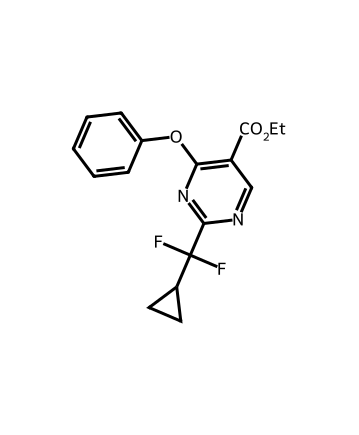 CCOC(=O)c1cnc(C(F)(F)C2CC2)nc1Oc1ccccc1